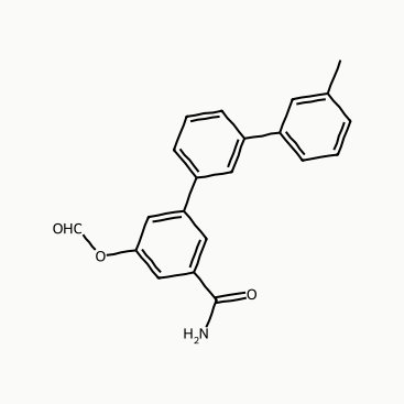 Cc1cccc(-c2cccc(-c3cc(OC=O)cc(C(N)=O)c3)c2)c1